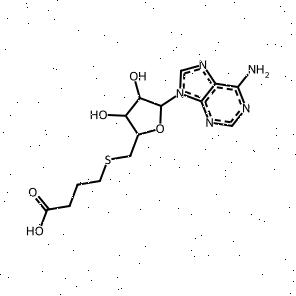 Nc1ncnc2c1ncn2C1OC(CSCCCC(=O)O)C(O)C1O